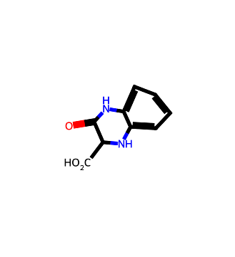 O=C(O)C1Nc2ccccc2NC1=O